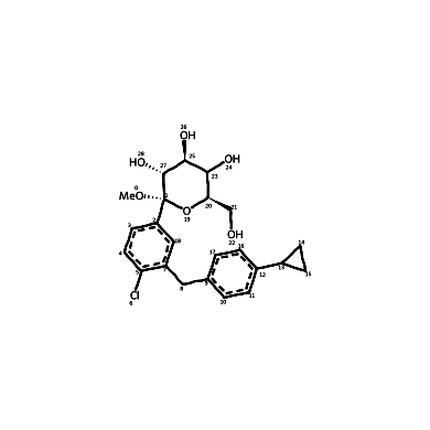 CO[C@@]1(c2ccc(Cl)c(Cc3ccc(C4CC4)cc3)c2)O[C@H](CO)C(O)[C@H](O)[C@H]1O